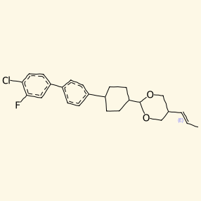 C/C=C/C1COC(C2CCC(c3ccc(-c4ccc(Cl)c(F)c4)cc3)CC2)OC1